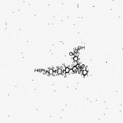 Cc1ccccc1S(=O)(=O)n1cc(-c2ccc(C(=O)N3CC(O)C3)cc2)c2cc(-c3cc(C)c(N4CCN(C5CCN(CCO)CC5)CC4)c(C)c3)cnc21